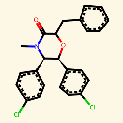 CN1C(=O)C(Cc2ccccc2)O[C@@H](c2ccc(Cl)cc2)[C@H]1c1ccc(Cl)cc1